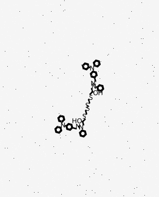 OC(CSCCSSCCSCC(O)CN(/N=C/c1ccc(N(c2ccccc2)c2ccccc2)cc1)c1ccccc1)CN(/N=C/c1ccc(N(c2ccccc2)c2ccccc2)cc1)c1ccccc1